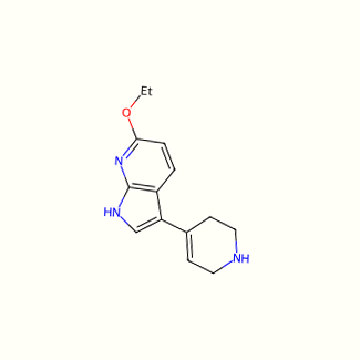 CCOc1ccc2c(C3=CCNCC3)c[nH]c2n1